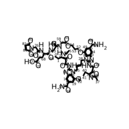 CCc1nc(C)oc1C(=O)Nc1nc2cc(C(N)=O)cc(OC)c2n1C/C=C/Cn1c(NC(=O)c2oc(C)nc2CC)nc2cc(C(N)=O)cc(OCCCOC(=O)[C@@H](C)NC(=O)CNC(=O)C(CCC(=O)O)NC(=O)CN3C(=O)C=CC3=O)c21